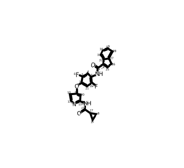 O=C(Nc1cc(F)c(Oc2ccnc(NC(=O)C3CC3)c2)cc1F)C1=CCc2ccccc21